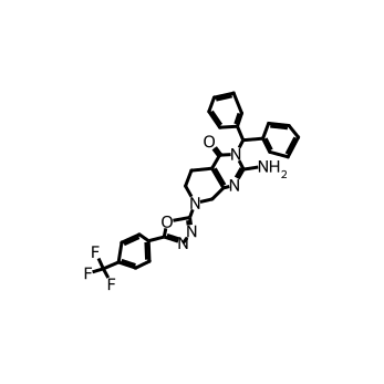 Nc1nc2c(c(=O)n1C(c1ccccc1)c1ccccc1)CCN(c1nnc(-c3ccc(C(F)(F)F)cc3)o1)C2